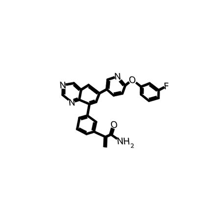 C=C(C(N)=O)c1cccc(-c2cc(-c3ccc(Oc4cccc(F)c4)nc3)cc3cncnc23)c1